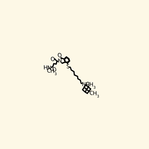 CNC(=O)CCC(C=O)N1Cc2c(SCCCCCCCCNC34CC5CC6(C)CC(C)(C3)C564)cccc2C1=O